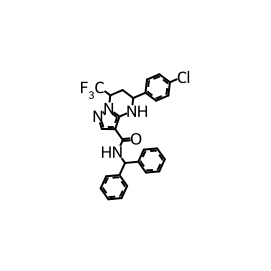 O=C(NC(c1ccccc1)c1ccccc1)c1cnn2c1NC(c1ccc(Cl)cc1)CC2C(F)(F)F